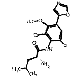 COc1c(-c2cnco2)cc(Cl)c(NC(=O)[C@H](N)CC(C)C)c1Cl